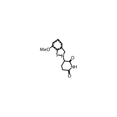 COc1cccc2c1SN(C1CCC(=O)NC1=O)C2